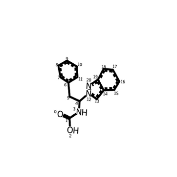 O=C(O)NC(Cc1ccccc1)n1cc2ccccc2n1